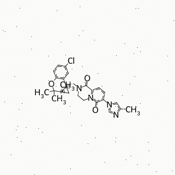 Cc1cn(-c2ccc3n(c2=O)CCN(C[C@]24C[C@@]2(C)C(C)(C)Oc2ccc(Cl)cc24)C3=O)cn1